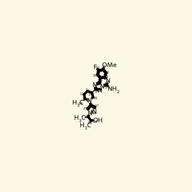 COc1cc2nc(N)n3nc([C@@H]4CC[C@H](C)N(c5cnn([C@H](C)[C@@H](C)O)c5)C4)nc3c2cc1F